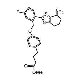 C=C1CCCc2nc(-c3ccc(F)cc3COc3ccc(CCCC(=O)OC)cc3)sc21